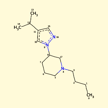 CCCCN1CCCC(n2cc(C(C)C)cn2)C1